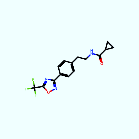 O=C(NCCc1ccc(-c2noc(C(F)(F)F)n2)cc1)C1CC1